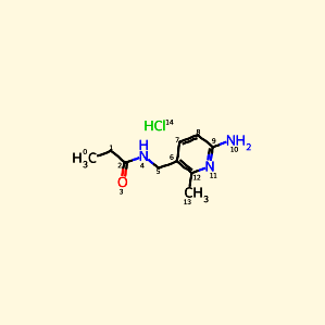 CCC(=O)NCc1ccc(N)nc1C.Cl